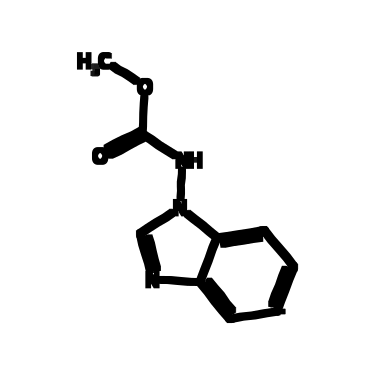 COC(=O)Nn1cnc2c[c]ccc21